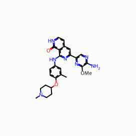 COc1nc(-c2cc3cc[nH]c(=O)c3c(Nc3ccc(OC4CCN(C)CC4)c(C)c3)n2)cnc1N